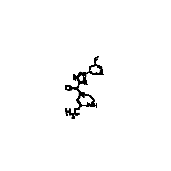 CC1CN(C(=O)c2ncn(-c3cccc(F)c3)n2)CCN1